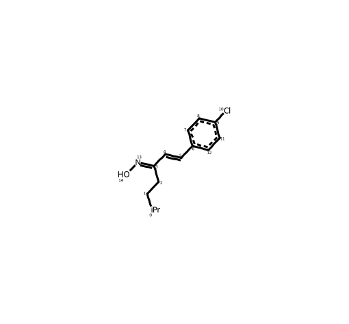 CC(C)CCC(/C=C/c1ccc(Cl)cc1)=N\O